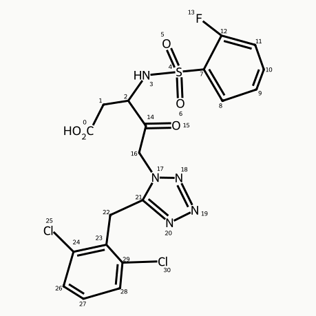 O=C(O)CC(NS(=O)(=O)c1ccccc1F)C(=O)Cn1nnnc1Cc1c(Cl)cccc1Cl